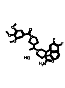 COc1cc(C(=O)N2CCC(C(C)N3CCC(C(N)=O)(c4ccccc4)C(c4ccc(F)c(F)c4)C3)C2)cc(OC)c1OC.Cl